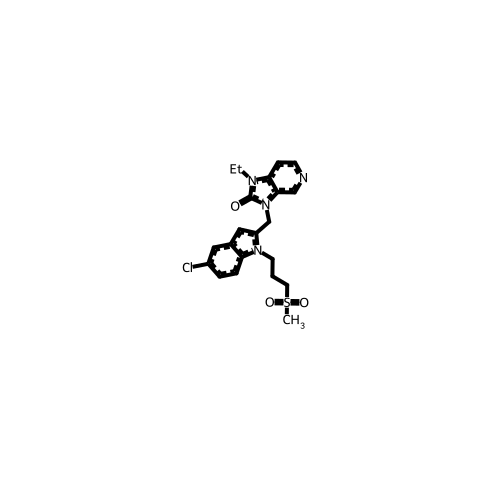 CCn1c(=O)n(Cc2cc3cc(Cl)ccc3n2CCCS(C)(=O)=O)c2cnccc21